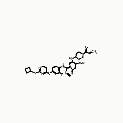 C=CC(=O)N1CCC(Nc2cc3c(Nc4ccc(Oc5ccnc(NC6CCC6)n5)cc4F)ncnc3cc2OC)CC1